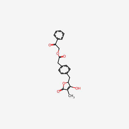 CC1=C(O)C(Cc2ccc(CC(=O)OCC(=O)c3ccccc3)cc2)OC1=O